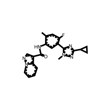 Cc1cc(F)c(-c2nc(C3CC3)nn2C)cc1NC(=O)c1cnn2ccccc12